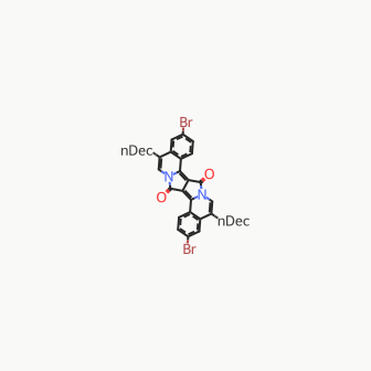 CCCCCCCCCCC1=CN2C(=O)C3=C4c5ccc(Br)cc5C(CCCCCCCCCC)=CN4C(=O)C3=C2c2ccc(Br)cc21